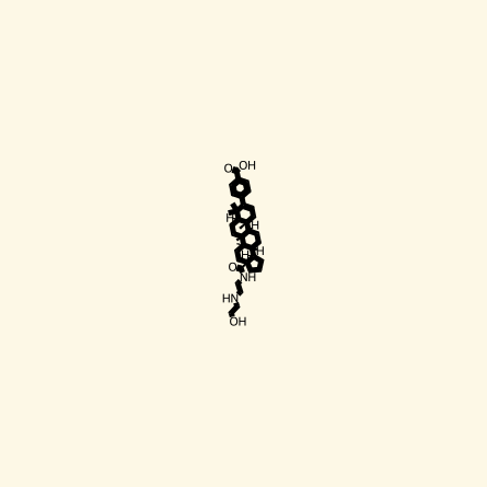 CC1(C)C(c2ccc(C(=O)O)cc2)=CC[C@]2(C)[C@H]3CC[C@@H]4[C@H]5CCC[C@]5(C(=O)NCCNCCO)CC[C@@]4(C)[C@]3(C)CC[C@@H]12